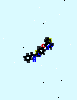 c1nc(Oc2ccc3nc(NCC4CCCCC4)sc3c2)c2ccsc2n1